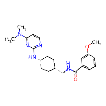 COc1cccc(C(=O)NC[C@H]2CC[C@@H](Nc3nccc(N(C)C)n3)CC2)c1